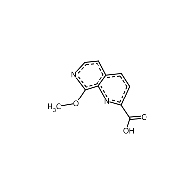 COc1nccc2ccc(C(=O)O)nc12